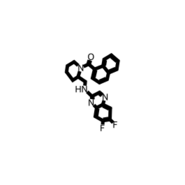 O=C(c1cccc2ccccc12)N1CCCCC1CNc1cnc2cc(F)c(F)cc2n1